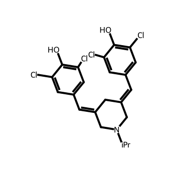 CC(C)N1C/C(=C/c2cc(Cl)c(O)c(Cl)c2)C/C(=C\c2cc(Cl)c(O)c(Cl)c2)C1